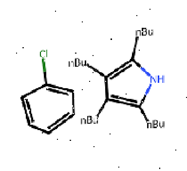 CCCCc1[nH]c(CCCC)c(CCCC)c1CCCC.Clc1ccccc1